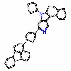 c1ccc(-n2c3cc(-c4ccc(-c5ccc6c7c(cccc57)-c5ccccc5-6)cc4)ncc3c3c4ccccc4ccc32)cc1